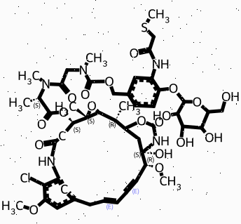 COc1cc2cc(c1Cl)NC(=O)C[C@H](OC(=O)[C@H](C)N(C)C(=O)CN(C)C(=O)OCc1ccc(OC3OC(CO)C(O)C(O)C3O)c(NC(=O)CSC)c1)[C@]1(C)OC1[C@H](C)C1C[C@@](O)(NC(=O)O1)[C@H](OC)/C=C/C=C/C2